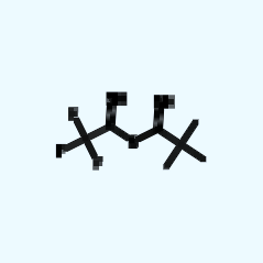 CC(C)(C)C(=N)SC(=N)C(F)(F)F